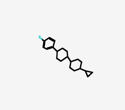 Fc1ccc(C2CCC(C3CCC(C4CC4)CC3)CC2)cc1